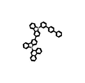 c1ccc(-c2ccc(-c3cccc(-n4c5ccccc5c5cc(-c6ccc7c(c6)c6ccccc6n7-c6cc7ccccc7c7ccccc67)ccc54)c3)cc2)cc1